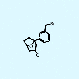 OC1CC2CCC(c3cccc(CBr)c3)(C1)O2